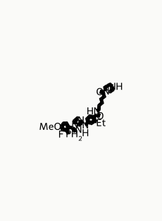 CCc1cc(Nc2nccn3c(-c4ccc(OC)c(F)c4P)cnc23)ccc1C(=O)NCCCCCC(=O)N1CCNCC1